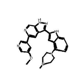 COc1cncc(-c2cc3c(-c4cc5c(N6CCN(C)CC6)cccc5[nH]4)n[nH]c3cn2)c1